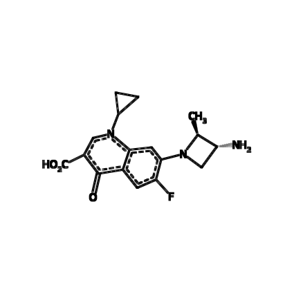 C[C@H]1[C@H](N)CN1c1cc2c(cc1F)c(=O)c(C(=O)O)cn2C1CC1